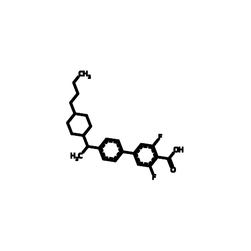 CCCCC1CCC(C(C)c2ccc(-c3cc(F)c(C(=O)O)c(F)c3)cc2)CC1